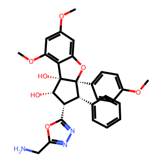 COc1ccc([C@@]23Oc4cc(OC)cc(OC)c4[C@]2(O)[C@@H](O)[C@@H](c2nnc(CN)o2)[C@H]3c2ccccc2)cc1